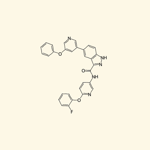 O=C(Nc1ccc(Oc2ccccc2F)nc1)c1n[nH]c2ccc(-c3cncc(Oc4ccccc4)c3)cc12